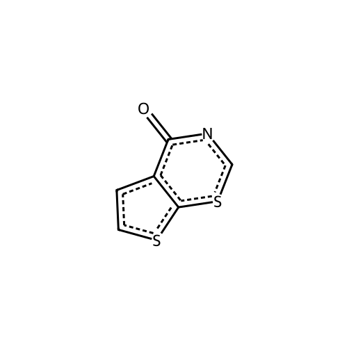 O=c1ncsc2sccc12